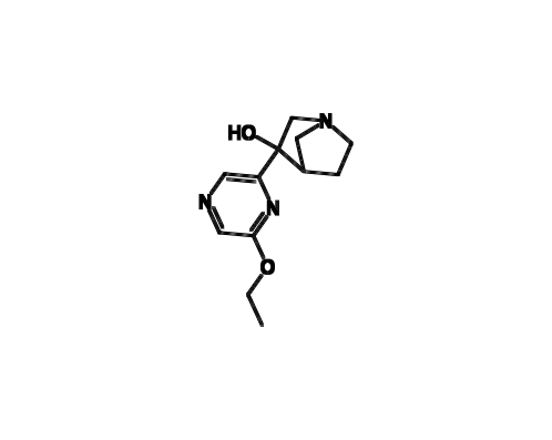 CCOc1cncc(C2(O)CN3CCC2C3)n1